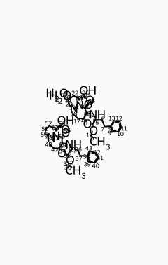 CCOC(=O)[C@H](CCc1ccccc1)N[C@H]1CCCN2CCC[C@@H](C(=O)O)N2C1=O.CCOC(=O)[C@H](CCc1ccccc1)N[C@H]1CCCN2CCC[C@@H](C(=O)O)N2C1=O.O.O